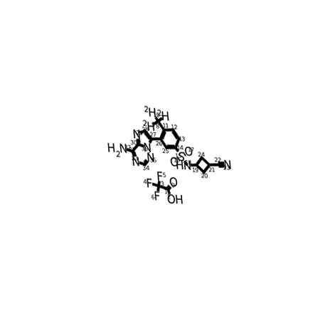 O=C(O)C(F)(F)F.[2H]C([2H])([2H])c1ccc(S(=O)(=O)NC2CC(C#N)C2)cc1-c1cnc2c(N)ncnn12